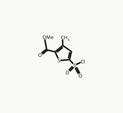 COC(=O)c1sc(S(=O)(=O)Cl)cc1C